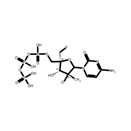 C[C@]1(Cl)C(n2ccc(N)nc2=O)O[C@](CF)(COP(=O)(O)OP(=O)(O)OP(=O)(O)O)[C@H]1O